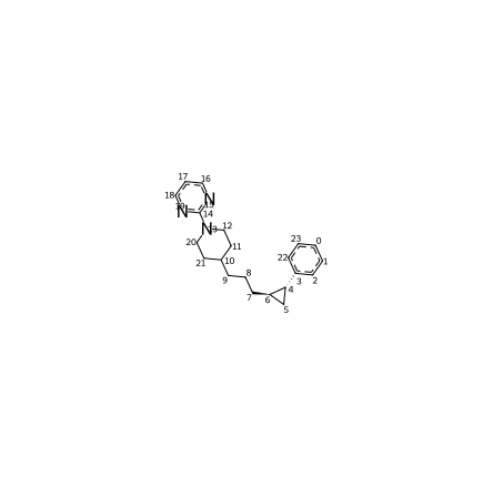 c1ccc([C@@H]2C[C@H]2CCCC2CCN(c3ncccn3)CC2)cc1